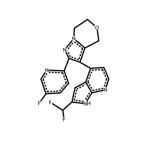 Fc1ccc(-c2nn3c(c2-c2ccnc4[nH]c(C(F)F)cc24)COCC3)nc1